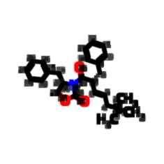 C[Si](C)(C)CC=C[C@@H](Cc1ccccc1)C(=O)N1C(=O)OC[C@H]1Cc1ccccc1